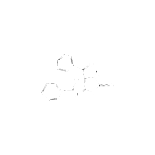 O=C(O[C@@]1(C(=O)c2ccccc2)C(=O)OC(=O)[C@@H]1O)c1ccccc1